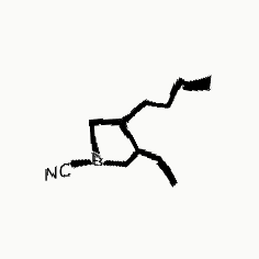 C=CCCC1CB(C#N)CC1C=C